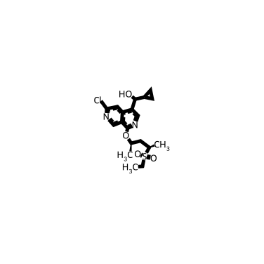 CCS(=O)(=O)[C@H](C)C[C@@H](C)Oc1ncc(C(O)C2CC2)c2cc(Cl)ncc12